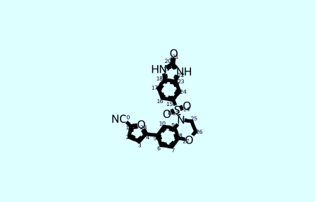 N#Cc1ccc(-c2ccc3c(c2)N(S(=O)(=O)c2ccc4[nH]c(=O)[nH]c4c2)CCO3)o1